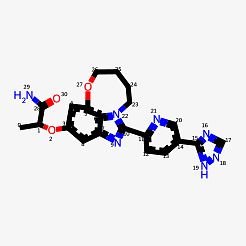 CC(Oc1cc2c3c(c1)nc(-c1ccc(-c4ncn[nH]4)cn1)n3CCCCO2)C(N)=O